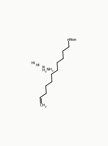 C=CCCCCCCCCCCCCCCCCCC.I.I.N.N